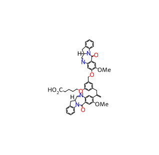 C=C(Cc1cc(COc2cc3c(cc2OC)C(=O)N2c4ccccc4C[C@H]2C=N3)cc(OCCCCC(=O)O)c1)c1cc2c(cc1OC)C(=O)N1c3ccccc3C[C@H]1C=N2